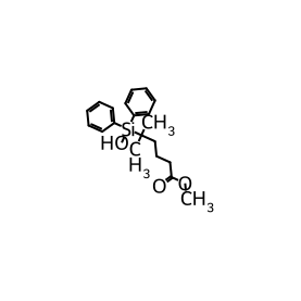 COC(=O)CCCC(C)(C)[Si](O)(c1ccccc1)c1ccccc1